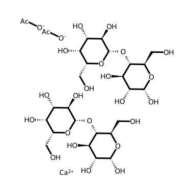 CC(=O)[O-].CC(=O)[O-].OC[C@H]1O[C@@H](O[C@H]2[C@H](O)[C@@H](O)[C@@H](O)O[C@@H]2CO)[C@H](O)[C@@H](O)[C@H]1O.OC[C@H]1O[C@@H](O[C@H]2[C@H](O)[C@@H](O)[C@@H](O)O[C@@H]2CO)[C@H](O)[C@@H](O)[C@H]1O.[Ca+2]